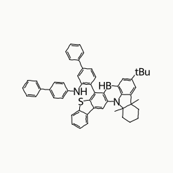 CC(C)(C)c1cc2c3c(c1)C1(C)CCCCC1(C)N3c1cc3c(sc4ccccc43)c(-c3ccc(-c4ccccc4)cc3Nc3ccc(-c4ccccc4)cc3)c1B2